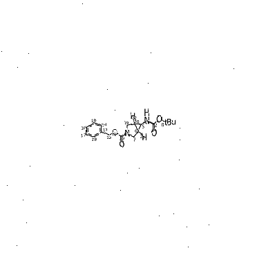 CC(C)(C)OC(=O)N[C@H]1[C@@H]2CN(C(=O)OCc3ccccc3)C[C@@H]21